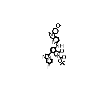 COC1CCC2(CC1)c1ccc(Nc3ccc(-c4cnc5cc(F)ccn45)c4c3C(=O)N(C(=O)OC(C)(C)C)C4)nc1CN2C